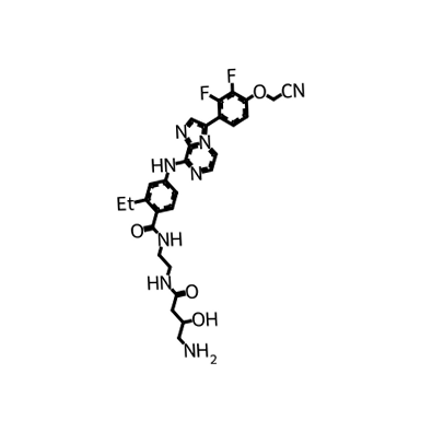 CCc1cc(Nc2nccn3c(-c4ccc(OCC#N)c(F)c4F)cnc23)ccc1C(=O)NCCNC(=O)CC(O)CN